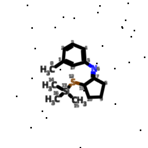 Cc1cccc(N=C2CCCC2S[Si](C)(C)C)c1